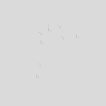 COc1cc(N2CCN3CCC[C@H]3C2)ccc1-n1cnc(Nc2cnc(C#N)cn2)c1